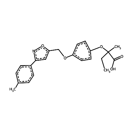 CCC(C)(Oc1ccc(OCc2cc(-c3ccc(C)cc3)no2)cc1)C(=O)O